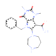 Cn1c(=O)c2c(c(C(N)=O)c(N3CCCNCC3)n2Cc2ccccc2)n(C)c1=O